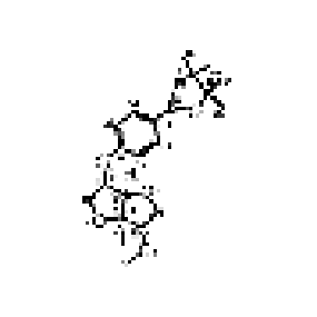 CO[C@@H]1CO[C@H]2[C@@H]1OC[C@H]2Oc1ccc(B2OC(C)(C)C(C)(C)O2)cc1